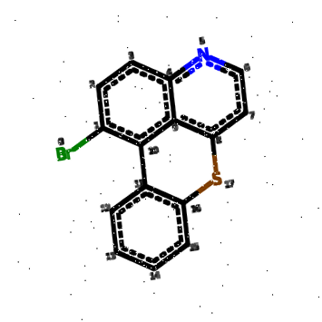 Brc1ccc2nccc3c2c1-c1ccccc1S3